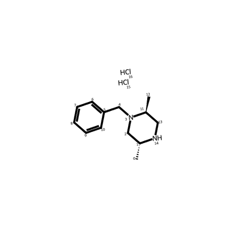 C[C@@H]1CN(Cc2ccccc2)[C@@H](C)CN1.Cl.Cl